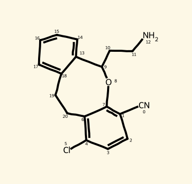 N#Cc1ccc(Cl)c2c1OC(CCN)c1ccccc1CC2